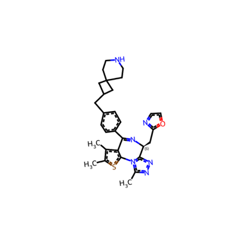 Cc1sc2c(c1C)C(c1ccc(CC3CC4(CCNCC4)C3)cc1)=N[C@@H](Cc1ncco1)c1nnc(C)n1-2